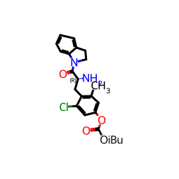 Cc1cc(OC(=O)OCC(C)C)cc(Cl)c1C[C@@H](N)C(=O)N1CCc2ccccc21